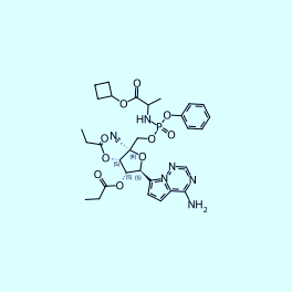 CCC(=O)O[C@H]1[C@H](c2ccc3c(N)ncnn23)O[C@](C#N)(COP(=O)(NC(C)C(=O)OC2CCC2)Oc2ccccc2)[C@H]1OC(=O)CC